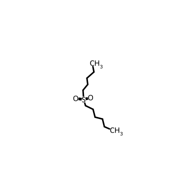 CCCCCCS(=O)(=O)CCCCC